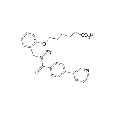 CC(C)N(Cc1ccccc1OCCCCCC(=O)O)C(=O)c1ccc(-c2cccnc2)cc1